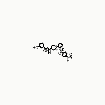 CC(=O)Nc1ccc(S(=O)(=O)Nc2ccccc2N2CCC(NCC(O)c3cccc(O)c3)CC2)cc1